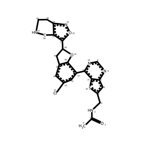 CC(=O)NCc1cc2ncnc(-c3cc(Cl)cc4c3OC(c3onc5c3CNCC5)C4)c2s1